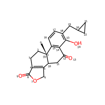 C[C@]12CCC3=C(COC3=O)C1CC(=O)c1c2ccc(CC2CC2)c1O